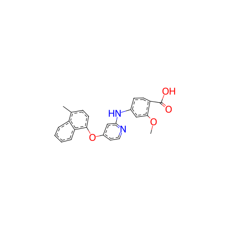 COc1cc(Nc2cc(Oc3ccc(C)c4ccccc34)ccn2)ccc1C(=O)O